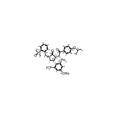 COc1cc(P)c([C@@H]2CN(Cc3ccccc3P(C)(C)=O)C(=O)[C@H]2CC(=O)c2ccc(OC(C)F)cc2)c(P)c1